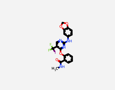 CNC(=O)c1ccccc1Oc1nc(Nc2ccc3c(c2)OCO3)ncc1C(F)(F)I